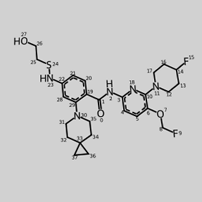 O=C(Nc1ccc(OCF)c(N2CCC(F)CC2)n1)c1ccc(NSCCO)cc1N1CCC2(CC1)CC2